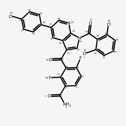 NC(=O)c1ccc(F)c(C(=O)c2cn(C(=O)c3c(Cl)cccc3Cl)c3ncc(-c4ccc(Cl)cc4)cc23)c1F